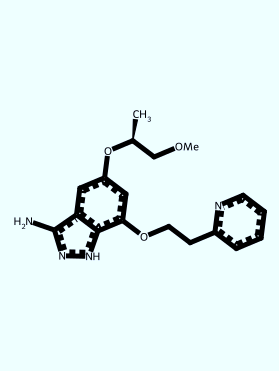 COC[C@H](C)Oc1cc(OCCc2ccccn2)c2[nH]nc(N)c2c1